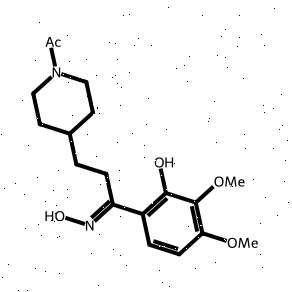 COc1ccc(C(CCC2CCN(C(C)=O)CC2)=NO)c(O)c1OC